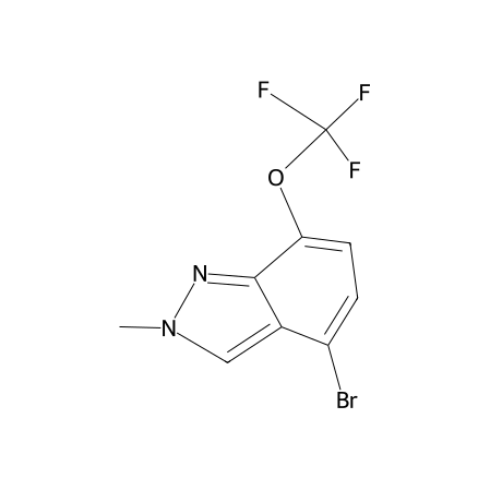 Cn1cc2c(Br)ccc(OC(F)(F)F)c2n1